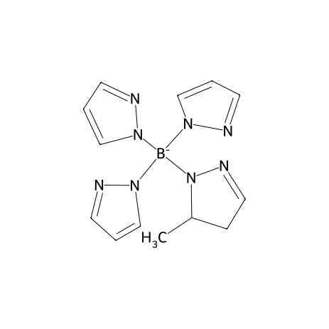 CC1CC=NN1[B-](n1cccn1)(n1cccn1)n1cccn1